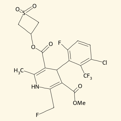 COC(=O)C1=C(CF)NC(C)=C(C(=O)OC2CS(=O)(=O)C2)C1c1c(F)ccc(Cl)c1C(F)(F)F